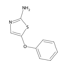 Nc1ncc(Oc2ccccc2)s1